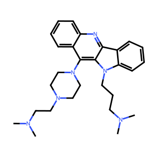 CN(C)CCCn1c2ccccc2c2nc3ccccc3c(N3CCN(CCN(C)C)CC3)c21